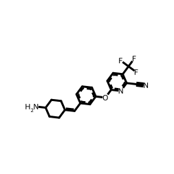 N#Cc1nc(Oc2cccc(C=C3CCC(N)CC3)c2)ccc1C(F)(F)F